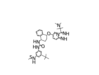 CSNc1cc(NC(=O)NC2CCC(Oc3ccc(=N)n(C(=N)C(C)(C)N(C)C)c3)c3ccccc32)cc(C(C)(C)C)c1